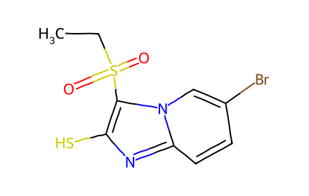 CCS(=O)(=O)c1c(S)nc2ccc(Br)cn12